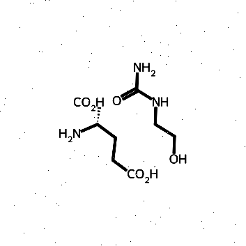 NC(=O)NCCO.N[C@@H](CCC(=O)O)C(=O)O